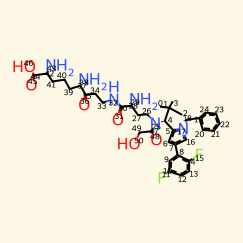 CC(C)(C)[C@H](c1cc(-c2cc(F)ccc2F)cn1Cc1ccccc1)N(CC[C@H](N)C(=O)NCCC(=O)C(N)CCC[C@H](N)C(=O)O)C(=O)CO